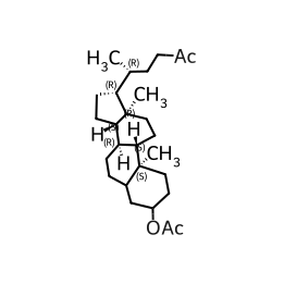 CC(=O)CC[C@@H](C)[C@H]1CC[C@H]2[C@@H]3CCC4CC(OC(C)=O)CC[C@]4(C)[C@H]3CC[C@]12C